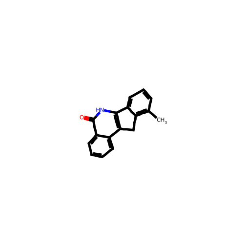 Cc1cccc2c1Cc1c-2[nH]c(=O)c2ccccc12